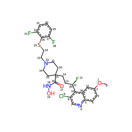 COc1ccc2ncc(Cl)c([C@H](F)CCC3(C(=O)NO)CCN(CCSc4c(F)cccc4F)CC3)c2c1